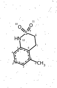 Cc1cncc2c1CCS(=O)(=O)N2